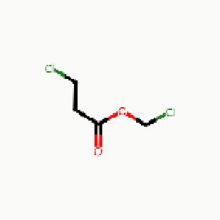 O=C(CCCl)OCCl